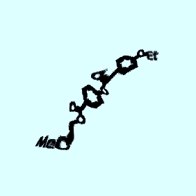 CCOc1ccc(C(=O)Oc2ccc(C(=O)OCCOC)cc2)cc1